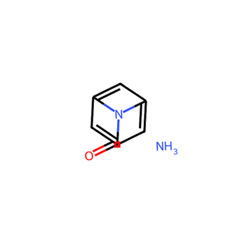 N.O=CN1c2cccc1c2